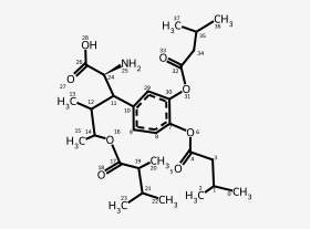 CC(C)CC(=O)Oc1ccc(C(C(C)C(C)OC(=O)C(C)C(C)C)[C@H](N)C(=O)O)cc1OC(=O)CC(C)C